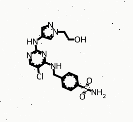 NS(=O)(=O)c1ccc(CNc2nc(Nc3cnn(CCO)c3)ncc2Cl)cc1